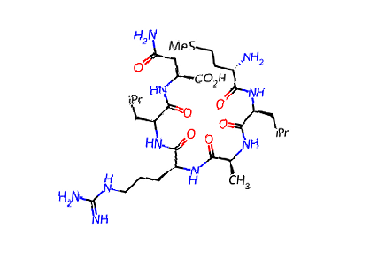 CSCC[C@H](N)C(=O)N[C@@H](CC(C)C)C(=O)N[C@@H](C)C(=O)N[C@@H](CCCNC(=N)N)C(=O)N[C@@H](CC(C)C)C(=O)N[C@@H](CC(N)=O)C(=O)O